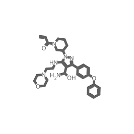 C=CC(=O)N1CCCC(n2nc(-c3ccc(Oc4ccccc4)cc3)c(C(N)O)c2NCCN2CCOCC2)C1